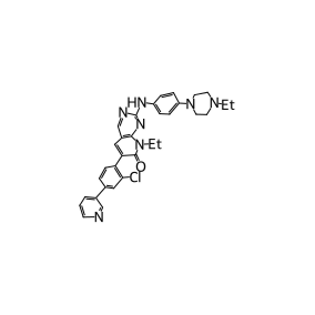 CCN1CCN(c2ccc(Nc3ncc4cc(-c5ccc(-c6cccnc6)cc5Cl)c(=O)n(CC)c4n3)cc2)CC1